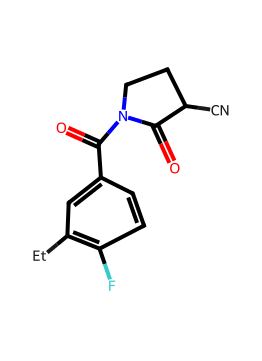 CCc1cc(C(=O)N2CCC(C#N)C2=O)ccc1F